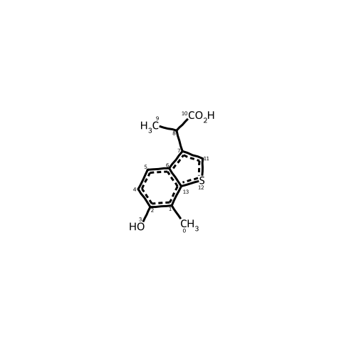 Cc1c(O)ccc2c(C(C)C(=O)O)csc12